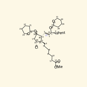 CCCCC[C@@H](/C=C/[C@@H]1[C@@H](CCCCCCC(=O)OC)[C@H](Cl)C[C@H]1OC1CCCCO1)OC1CCCCO1